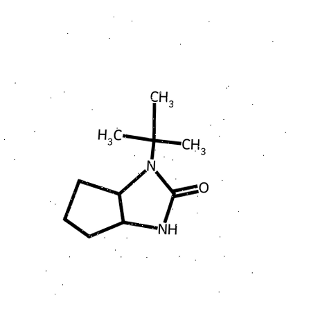 CC(C)(C)N1C(=O)NC2CCCC21